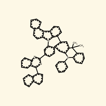 CC1(C)c2ccccc2N(c2ccccc2)c2ccc(-c3cccc4c5c6ccccc6ccc5n(-c5cccc(-c6nc(-c7cccc8ccccc78)c7ccccc7n6)c5)c34)cc21